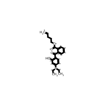 C=CCCCOC(=O)c1ccccc1C(=O)c1ccc(N(CC)CC)cc1O